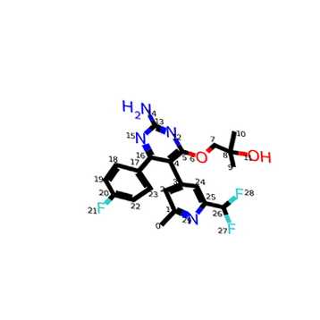 Cc1cc(-c2c(OCC(C)(C)O)nc(N)nc2-c2ccc(F)cc2)cc(C(F)F)n1